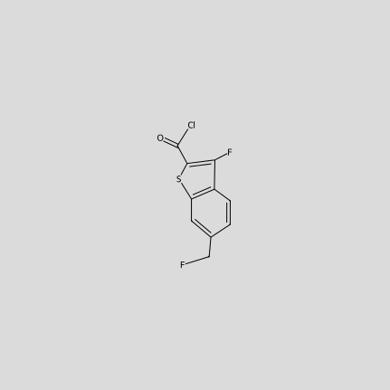 O=C(Cl)c1sc2cc(CF)ccc2c1F